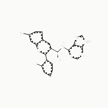 C[C@H](Nc1ncnc2[nH]cnc12)c1cc2ccc(F)cc2nc1-c1ccccc1S